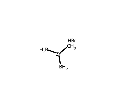 Br.[BH2][Zn]([BH2])[CH3]